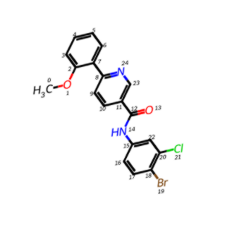 COc1ccccc1-c1ccc(C(=O)Nc2ccc(Br)c(Cl)c2)cn1